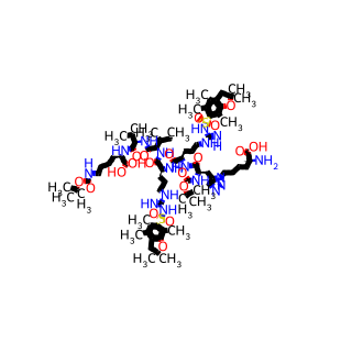 CCC(C)[C@@H](NC(=O)[C@@H](CCCNC(=N)NS(=O)(=O)c1c(C)c(C)c2c(c1C)OC(C)(C)C2)NC(=O)[C@@H](CCCNC(=N)NS(=O)(=O)c1c(C)c(C)c2c(c1C)OC(C)(C)C2)NC(=O)[C@@H](Cc1cnnn1CCCC[C@H](N)C(=O)O)NC(=O)OC(C)(C)C)C(=O)N[C@@H](C(=O)N[C@H](CCCCNC(=O)OC(C)(C)C)C(O)O)C(C)C